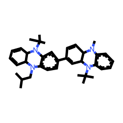 CC(C)CN1c2ccc(C3=CC4C(C=C3)N(C)c3ccccc3N4C(C)(C)C)cc2N(C(C)(C)C)C2C=CC=CC21